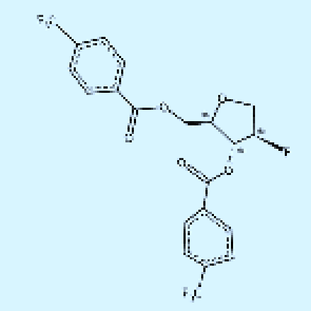 O=C(OC[C@H]1OC[C@@H](F)[C@@H]1OC(=O)c1ccc(C(F)(F)F)cc1)c1ccc(C(F)(F)F)cc1